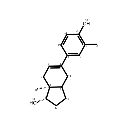 Cc1cc(C2=CC[C@@]3(C)C(CC[C@@H]3O)C2)ccc1O